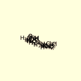 [2H]c1cc2c(c([2H])c1OCCCC([2H])([2H])N1CCN(c3cccc(Cl)c3Cl)CC1)NC(=O)C([2H])(C)C2([2H])[2H]